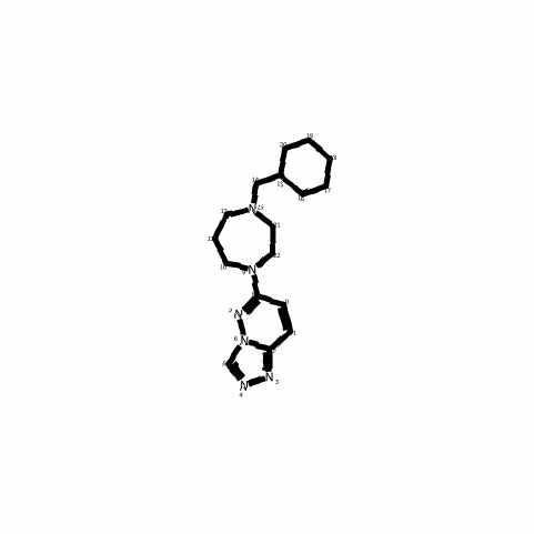 c1cc2nncn2nc1N1CCCN(CC2CCCCC2)CC1